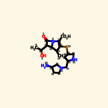 CC(O)C1C(=O)N2C(C(=O)O)=C(SC3CNC(CN4CCC(N)C4)C3)C(C)C12